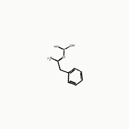 NC(Cc1ccccc1)OB(O)O